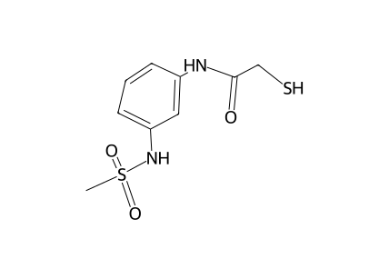 CS(=O)(=O)Nc1cccc(NC(=O)CS)c1